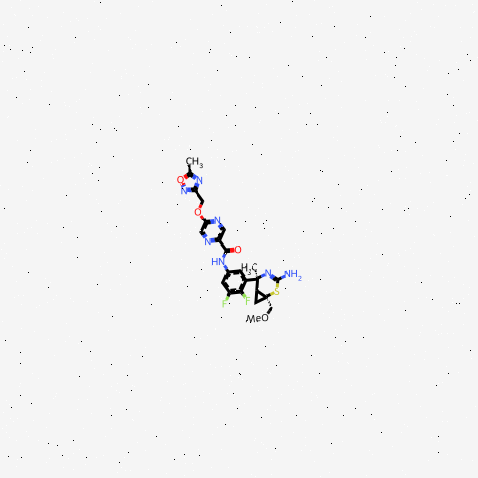 COC[C@]12CC1[C@@](C)(c1cc(NC(=O)c3cnc(OCc4noc(C)n4)cn3)cc(F)c1F)N=C(N)S2